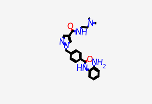 CN(C)CCNC(=O)c1cnn(Cc2ccc(C(=O)Nc3ccccc3N)cc2)c1